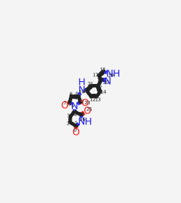 O=C1CCC(N2C(=O)C=C(Nc3cccc(-c4cc[nH]n4)c3)C2=O)C(=O)N1